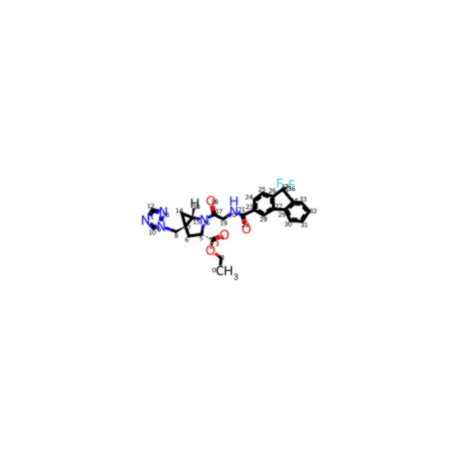 CCOC(=O)[C@@H]1C[C@]2(Cn3cncn3)C[C@@H]2N1C(=O)CNC(=O)c1ccc2c(c1)-c1ccccc1C2(F)F